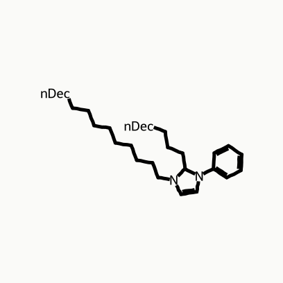 CCCCCCCCCCCCCCCCCCCN1C=CN(c2ccccc2)C1CCCCCCCCCCCCC